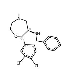 Clc1ccc([C@@H]2OCCNC[C@H]2NCc2ccccc2)cc1Cl